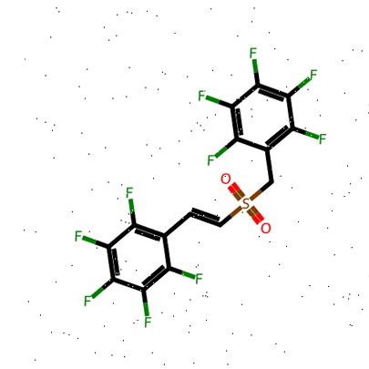 O=S(=O)(C=Cc1c(F)c(F)c(F)c(F)c1F)Cc1c(F)c(F)c(F)c(F)c1F